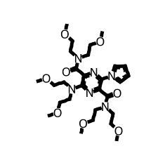 COCCN(CCOC)C(=O)c1nc(-n2cccc2)c(C(=O)N(CCOC)CCOC)nc1N(CCOC)CCOC